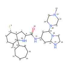 CC1CCC(F)C2CC(C(=O)NC3CC4NCCN4C(N4CCN(C)CC4)C3)NC12C1CCCCCC1